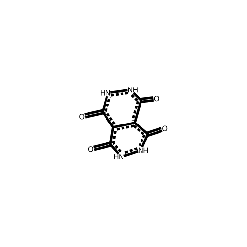 O=c1[nH][nH]c(=O)c2c(=O)[nH][nH]c(=O)c12